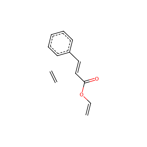 C=C.C=COC(=O)C=Cc1ccccc1